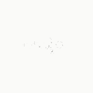 O=C(O)C[C@]1(Br)CC[C@H](N2C(=O)c3ccccc3C2=O)C1